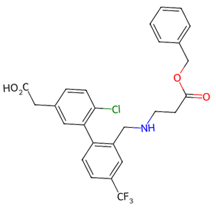 O=C(O)Cc1ccc(Cl)c(-c2ccc(C(F)(F)F)cc2CNCCC(=O)OCc2ccccc2)c1